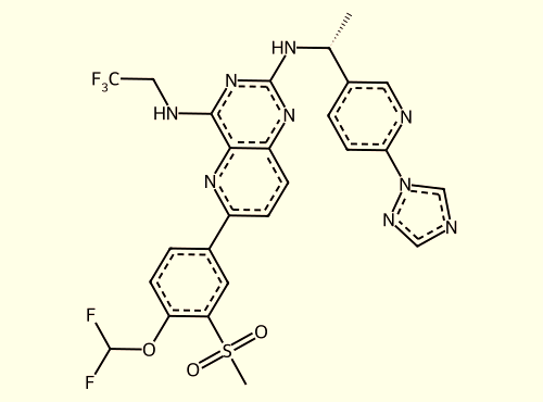 C[C@@H](Nc1nc(NCC(F)(F)F)c2nc(-c3ccc(OC(F)F)c(S(C)(=O)=O)c3)ccc2n1)c1ccc(-n2cncn2)nc1